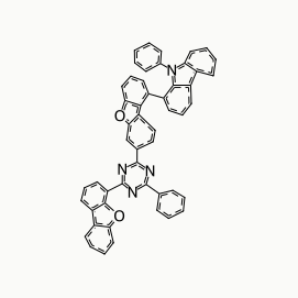 c1ccc(-c2nc(-c3ccc4c(c3)oc3cccc(-c5cccc6c7ccccc7n(-c7ccccc7)c56)c34)nc(-c3cccc4c3oc3ccccc34)n2)cc1